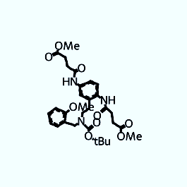 COC(=O)CCC(=O)Nc1ccc(NC(=O)CCC(=O)OC)c(CCN(Cc2ccccc2OC)C(=O)OC(C)(C)C)c1